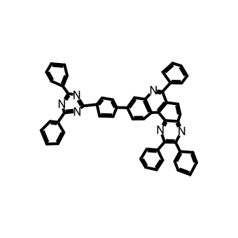 c1ccc(-c2nc(-c3ccccc3)nc(-c3ccc(-c4ccc5c(c4)nc(-c4ccccc4)c4ccc6nc(-c7ccccc7)c(-c7ccccc7)nc6c45)cc3)n2)cc1